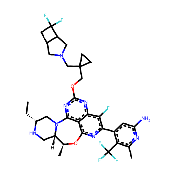 CC[C@@H]1CN2c3nc(OCC4(CN5CC6CC(F)(F)C6C5)CC4)nc4c(F)c(-c5cc(N)nc(C)c5C(F)(F)F)nc(c34)O[C@@H](C)[C@@H]2CN1